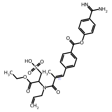 C=CCN(C(=O)/C(C)=C/c1ccc(C(=O)Oc2ccc(C(=N)N)cc2)cc1)C(CS(=O)(=O)O)C(=O)OCC